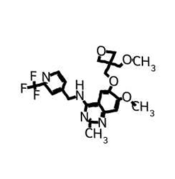 COCC1(COc2cc3c(NCc4ccnc(C(F)(F)F)c4)nc(C)nc3cc2OC)COC1